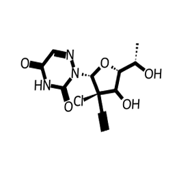 C#C[C@@]1(Cl)C(O)[C@@H]([C@H](C)O)O[C@H]1n1ncc(=O)[nH]c1=O